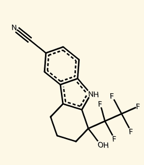 N#Cc1ccc2[nH]c3c(c2c1)CCCC3(O)C(F)(F)C(F)(F)F